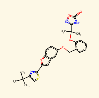 CC(C)(C)c1csc(-c2cc3cc(OCc4ccccc4OC(C)(C)c4noc(=O)[nH]4)ccc3o2)n1